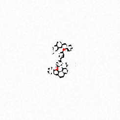 CC(O)c1ccc2ccc3cc4ccccc4cc3c2c1-c1cc(-c2ccc(N)c(-c3c(C(C)O)ccc4ccc5cc6ccccc6cc5c34)c2)ccc1N